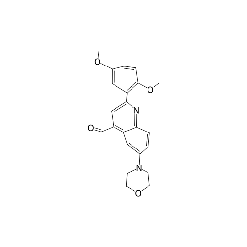 COc1ccc(OC)c(-c2cc(C=O)c3cc(N4CCOCC4)ccc3n2)c1